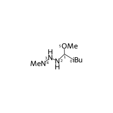 CCC(C)C(NNNC)OC